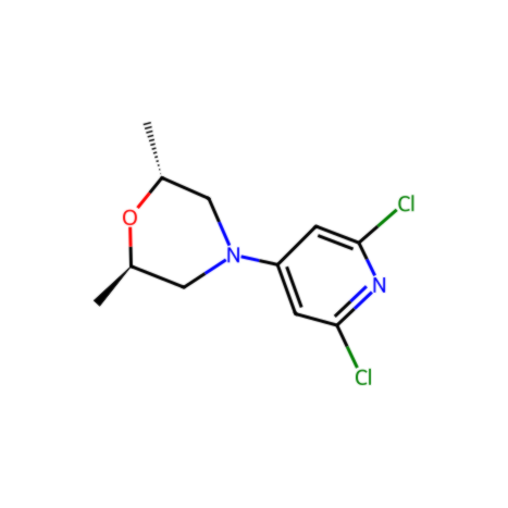 C[C@@H]1CN(c2cc(Cl)nc(Cl)c2)C[C@@H](C)O1